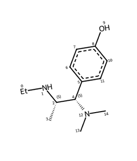 CCN[C@@H](C)[C@H](c1ccc(O)cc1)N(C)C